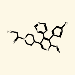 [N]=NC1OC=C(C2CCN(C(=O)CO)CC2)C(c2ccncn2)=C1c1ccc(Cl)cc1